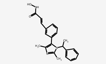 Cc1nc(C)n(C(C)c2ccccc2)c1-c1cccc(C=CC(=O)NO)c1